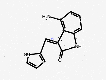 Nc1cccc2c1/C(=C/c1ccc[nH]1)C(=O)N2